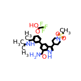 CCS(=O)(=O)N1CCC(c2c[nH]c3c(C(N)=O)cc(-c4cccc(C(C)NC(C)C)c4)cc23)CC1.O=C(O)C(F)(F)F